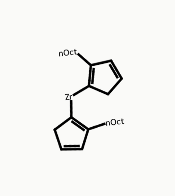 CCCCCCCCC1=[C]([Zr][C]2=C(CCCCCCCC)C=CC2)CC=C1